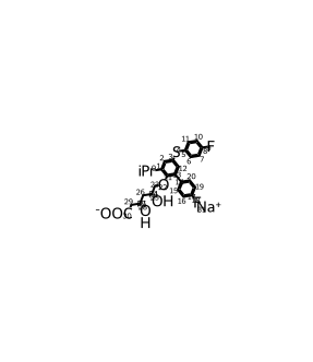 CC(C)c1cc(Sc2ccc(F)cc2)cc(-c2ccc(F)cc2)c1OC[C@@H](O)C[C@@H](O)CC(=O)[O-].[Na+]